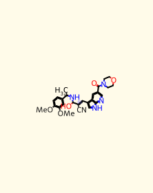 COc1ccc([C@@H](C)NC(O)/C(C#N)=C/c2c[nH]c3ncc(C(=O)N4CCOCC4)cc23)cc1OC